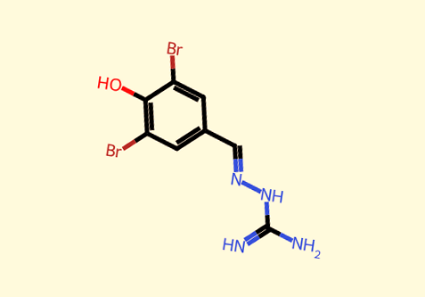 N=C(N)NN=Cc1cc(Br)c(O)c(Br)c1